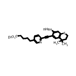 CCCCCCc1cc2c(cc1C#Cc1ccc(CCCCC(=O)OCC)cn1)C(C)(C)CCS2